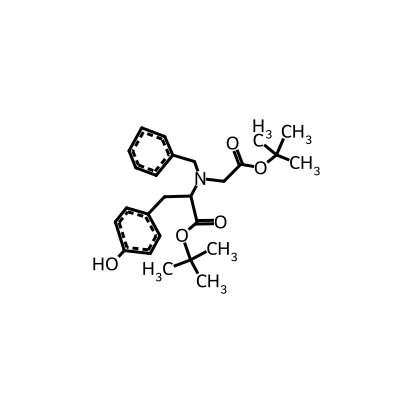 CC(C)(C)OC(=O)CN(Cc1ccccc1)C(Cc1ccc(O)cc1)C(=O)OC(C)(C)C